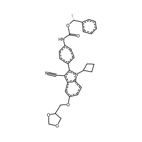 C[C@@H](OC(=O)Nc1ccc(-c2c(C#N)c3cc(OCC4COCO4)ccc3n2C2CCC2)cc1)c1ccccc1